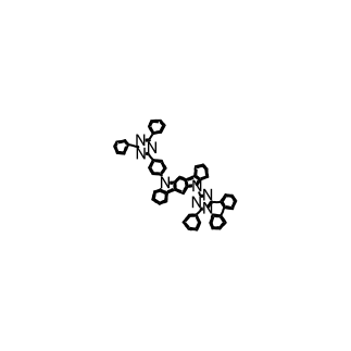 c1ccc(-c2nc(-c3ccccc3)nc(-c3ccc(-n4c5ccccc5c5cc6c(cc54)c4ccccc4n6-c4nc(-c5ccccc5)nc(-c5ccccc5-c5ccccc5)n4)cc3)n2)cc1